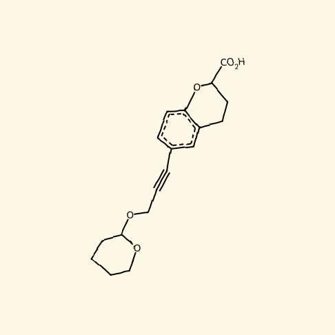 O=C(O)C1CCc2cc(C#CCOC3CCCCO3)ccc2O1